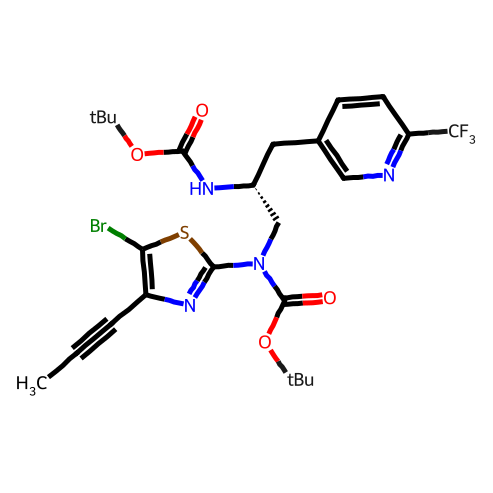 CC#Cc1nc(N(C[C@@H](Cc2ccc(C(F)(F)F)nc2)NC(=O)OC(C)(C)C)C(=O)OC(C)(C)C)sc1Br